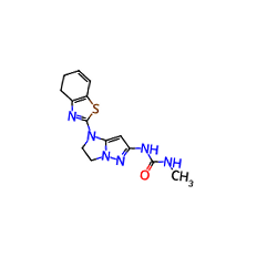 CNC(=O)Nc1cc2n(n1)CCN2c1nc2c(s1)C=CCC2